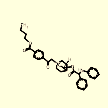 CCCCOC(=O)c1ccc(C(=O)C[N+]23CCC(CC2)[C@@H](OC(=O)C(Nc2ccccc2)c2ccccc2)C3)cc1